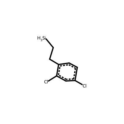 [SiH3]CCc1ccc(Cl)cc1Cl